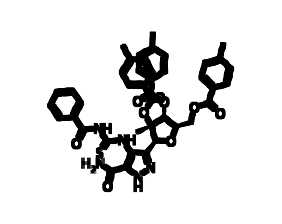 Cc1ccc(C(=O)OC[C@H]2O[C@@H](c3n[nH]c(C(N)=O)c3NC(=S)NC(=O)c3ccccc3)[C@](C)(OC(=O)c3ccc(C)cc3)[C@@H]2OC(=O)c2ccc(C)cc2)cc1